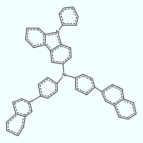 c1ccc(-n2c3ccccc3c3cc(N(c4ccc(-c5ccc6ccccc6c5)cc4)c4ccc(-c5ccc6ccccc6c5)cc4)ccc32)cc1